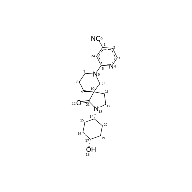 N#Cc1ccnc(N2CCC[C@]3(CCN([C@H]4CC[C@@H](O)CC4)C3=O)C2)c1